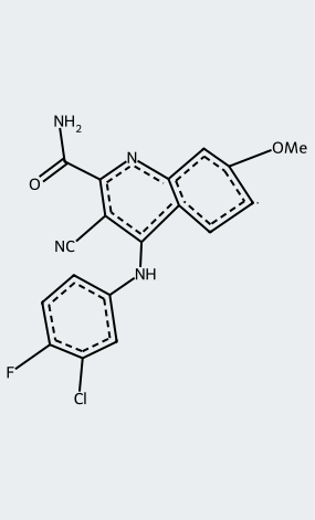 COc1[c]cc2c(Nc3ccc(F)c(Cl)c3)c(C#N)c(C(N)=O)nc2c1